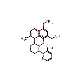 CC1=CC=CNC1C1CCCC(c2ncccc2C)N1Cc1ccc(CN)cc1CO